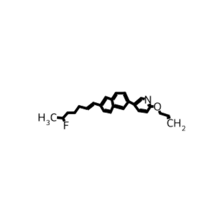 C=CCOc1ccc(-c2ccc3cc(/C=C/CCCC(C)F)ccc3c2)cn1